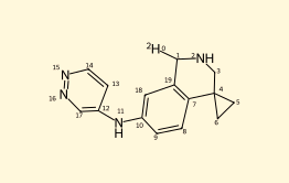 [2H]C1NCC2(CC2)c2ccc(Nc3ccnnc3)cc21